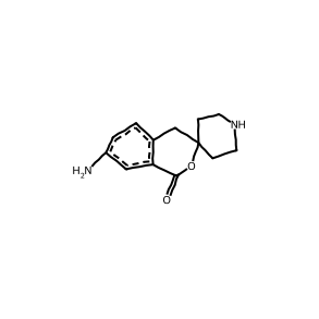 Nc1ccc2c(c1)C(=O)OC1(CCNCC1)C2